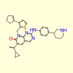 C=C(c1cc2cnc(Nc3ccc(C4CCCNC4)cc3)nc2n(Cc2sccc2C2=CCCC2)c1=O)C1CC1